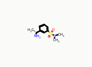 C[C@@H](N)c1cccc(S(=O)(=O)N(C)C)c1